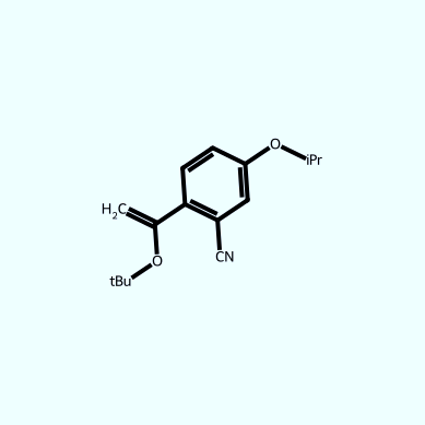 C=C(OC(C)(C)C)c1ccc(OC(C)C)cc1C#N